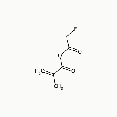 C=C(C)C(=O)OC(=O)CF